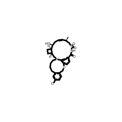 C[C@@H]1/C=C\C[C@H](O)[C@@H]2CC[C@H]2CN2CCCCc3cc(Cl)ccc3COc3ccc(cc32)C(=O)NS(=O)(=O)C1